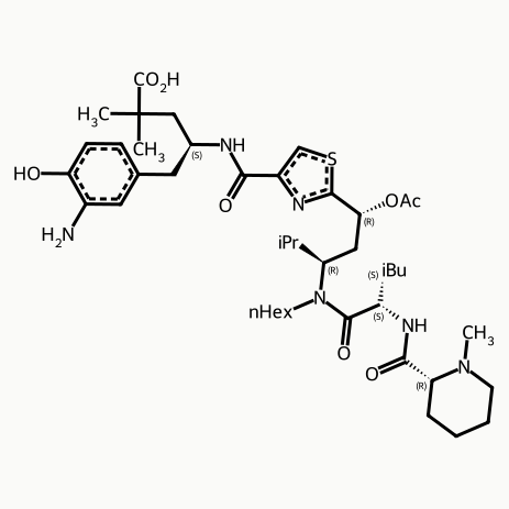 CCCCCCN(C(=O)[C@@H](NC(=O)[C@H]1CCCCN1C)[C@@H](C)CC)[C@H](C[C@@H](OC(C)=O)c1nc(C(=O)N[C@@H](Cc2ccc(O)c(N)c2)CC(C)(C)C(=O)O)cs1)C(C)C